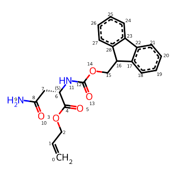 C=CCOC(=O)[C@H](CC(N)=O)NC(=O)OCC1c2ccccc2-c2ccccc21